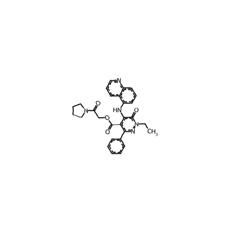 CCn1nc(-c2ccccc2)c(C(=O)OCC(=O)N2CCCC2)c(Nc2cccc3ncccc23)c1=O